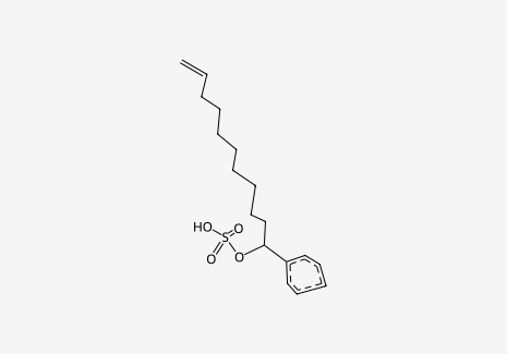 C=CCCCCCCCCC(OS(=O)(=O)O)c1ccccc1